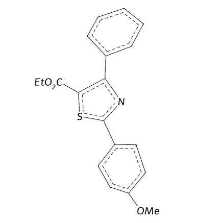 CCOC(=O)c1sc(-c2ccc(OC)cc2)nc1-c1ccccc1